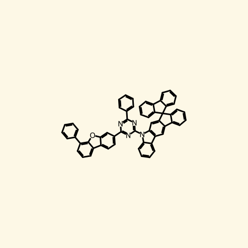 c1ccc(-c2nc(-c3ccc4c(c3)oc3c(-c5ccccc5)cccc34)nc(-n3c4ccccc4c4cc5c(cc43)C3(c4ccccc4-c4ccccc43)c3ccccc3-5)n2)cc1